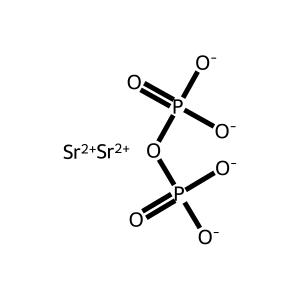 O=P([O-])([O-])OP(=O)([O-])[O-].[Sr+2].[Sr+2]